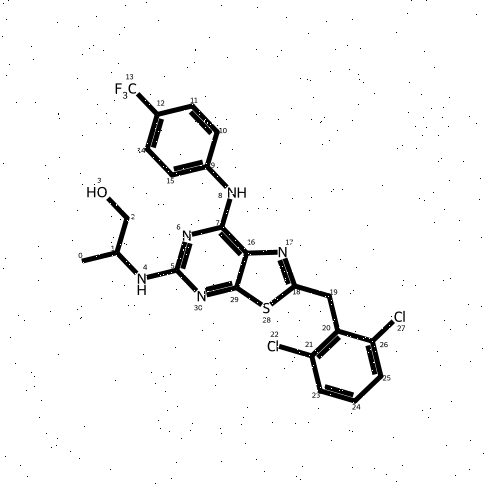 CC(CO)Nc1nc(Nc2ccc(C(F)(F)F)cc2)c2nc(Cc3c(Cl)cccc3Cl)sc2n1